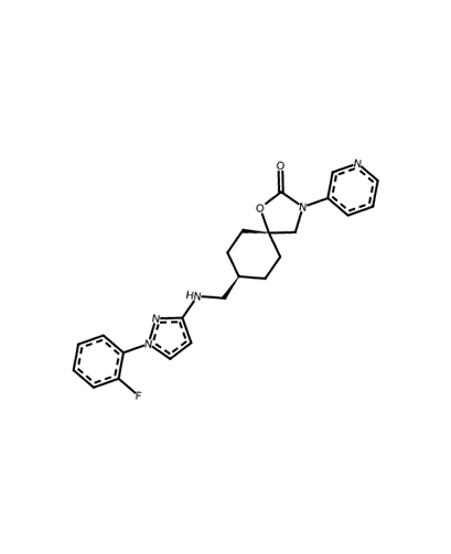 O=C1O[C@]2(CC[C@H](CNc3ccn(-c4ccccc4F)n3)CC2)CN1c1cccnc1